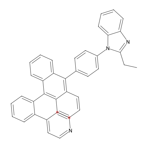 CCc1nc2ccccc2n1-c1ccc(-c2c3ccccc3c(-c3ccccc3-c3ccncc3)c3ccccc23)cc1